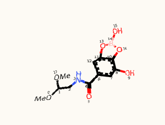 COC(CNC(=O)c1cc(O)c2c(c1)OB(O)O2)OC